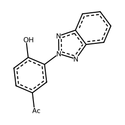 CC(=O)c1ccc(O)c(-n2nc3ccccc3n2)c1